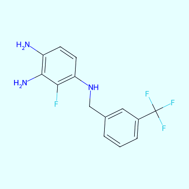 Nc1ccc(NCc2cccc(C(F)(F)F)c2)c(F)c1N